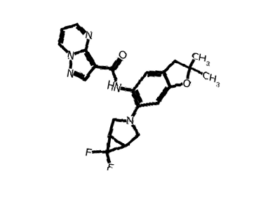 CC1(C)Cc2cc(NC(=O)c3cnn4cccnc34)c(N3CC4C(C3)C4(F)F)cc2O1